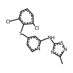 Cc1nsc(Nc2cc(Sc3c(Cl)cccc3Cl)ccn2)n1